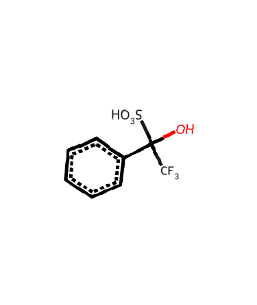 O=S(=O)(O)C(O)(c1ccccc1)C(F)(F)F